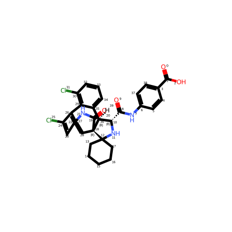 O=C(O)c1ccc(NC(=O)[C@@H]2NC3(CCCCC3)[C@]34C(=O)Nc5cc(Cl)c(cc53)-c3c(Cl)cccc3[C@@H]24)cc1